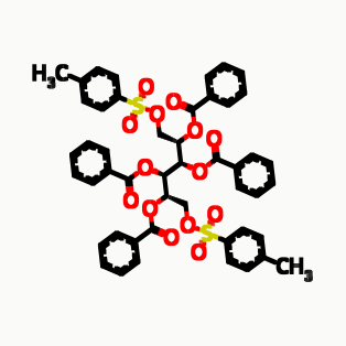 Cc1ccc(S(=O)(=O)OC[C@@H](OC(=O)c2ccccc2)[C@@H](OC(=O)c2ccccc2)[C@H](OC(=O)c2ccccc2)[C@@H](COS(=O)(=O)c2ccc(C)cc2)OC(=O)c2ccccc2)cc1